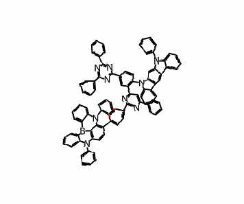 c1ccc(-c2cc(-c3cc(-c4nc(-c5ccccc5)nc(-c5ccccc5)n4)ccc3-n3c4ccccc4c4cc5c6ccccc6n(-c6ccccc6)c5cc43)nc(-c3ccc(-c4ccc5c6c4N(c4ccccc4)c4ccccc4B6c4ccccc4N5c4ccccc4)cc3)n2)cc1